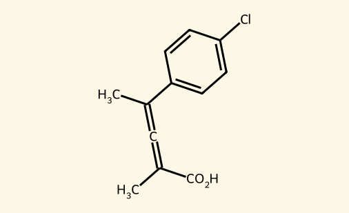 CC(=C=C(C)c1ccc(Cl)cc1)C(=O)O